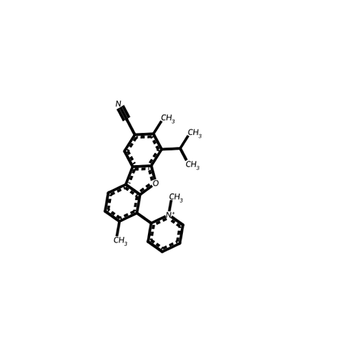 Cc1ccc2c(oc3c(C(C)C)c(C)c(C#N)cc32)c1-c1cccc[n+]1C